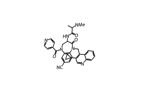 CNC(C)C(=O)NC1CN(C(=O)c2ccncc2)c2cc(C#N)ccc2N(Cc2c(C3CC3)cnc3ccccc23)C1=O